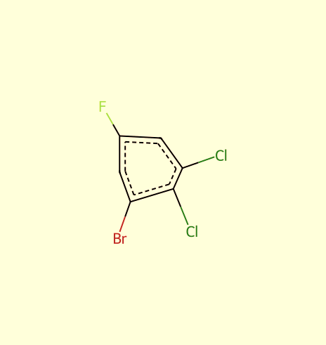 Fc1cc(Cl)c(Cl)c(Br)c1